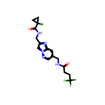 O=C(CCC(F)(F)F)NCc1cnn2cc(CNC(=O)C3(F)CC3)nc2c1